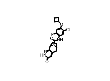 O=C(Nc1cc(Cl)c(OC2CCC2)cc1F)N1C2CCC1c1n[nH]c(=O)cc1C2